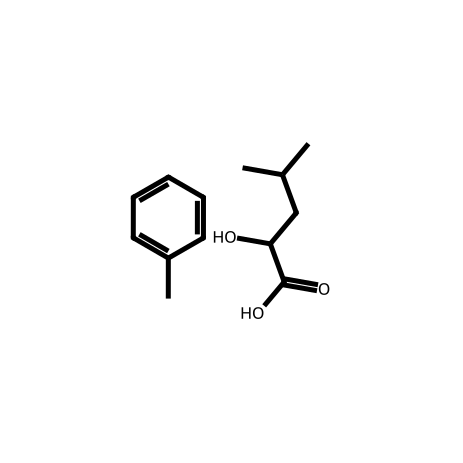 CC(C)CC(O)C(=O)O.Cc1ccccc1